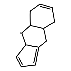 [C]1C2C=CC=C2CC2CC=CCC12